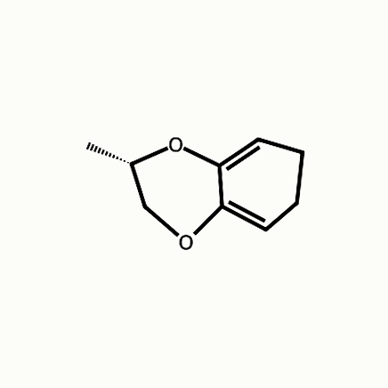 C[C@H]1COC2=CCCC=C2O1